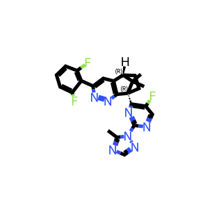 Cc1ncnn1-c1ncc(F)c([C@]23CC[C@@H](c4cc(-c5c(F)cccc5F)nnc42)C3(C)C)n1